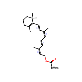 CCCCCCC(=O)OC\C=C(C)/C=C/C=C(C)\C=C\C1=C(C)CCCC1(C)C